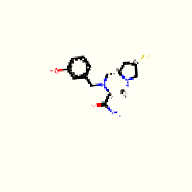 CC[C@H](C)[C@@H](C(N)=O)N(Cc1cccc(O)c1)C[C@@H]1C[C@H](S)CN1